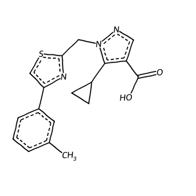 Cc1cccc(-c2csc(Cn3ncc(C(=O)O)c3C3CC3)n2)c1